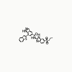 CCCS(=O)(=O)c1ccc2nc(NC(=O)c3cc(-c4cc5ccccc5s4)c4[nH]ncc4c3)[nH]c2c1